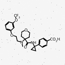 CN(CCOc1cccc(OC(F)(F)F)c1)C1(C(=O)NC2(c3ccc(C(=O)O)cc3)CC2)CCOCC1